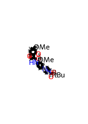 COCC1(C)CC(=O)c2c(C(=O)Nc3ccc(N4CCN(C(=O)OC(C)(C)C)CC4)cc3OC)coc2C1